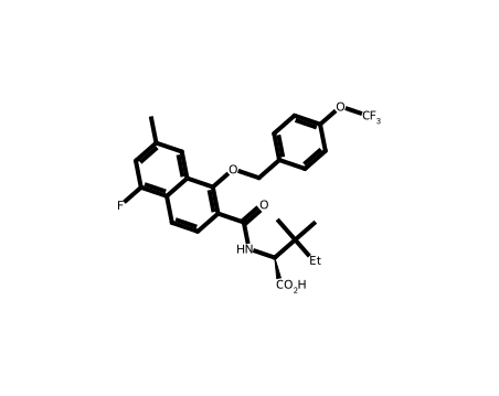 CCC(C)(C)[C@H](NC(=O)c1ccc2c(F)cc(C)cc2c1OCc1ccc(OC(F)(F)F)cc1)C(=O)O